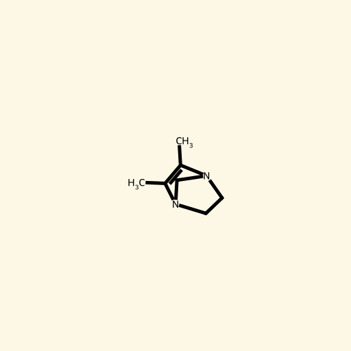 CC1=C(C)N2CCN1C2